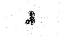 O=S(=O)(Cl)Cc1ccc2oc(Br)c(-c3ccccc3)c2c1